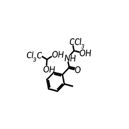 Cc1ccccc1C(=O)NC(O)C(Cl)(Cl)Cl.OC(O)C(Cl)(Cl)Cl